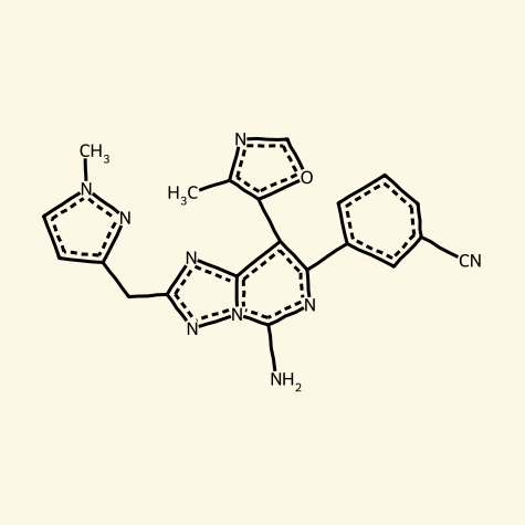 Cc1ncoc1-c1c(-c2cccc(C#N)c2)nc(N)n2nc(Cc3ccn(C)n3)nc12